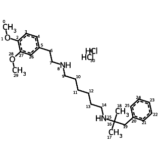 COc1ccc(CCNCCCCCCNC(C)(C)Cc2ccccc2)cc1OC.Cl.Cl